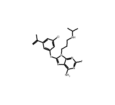 C=C(C)c1cc(Cl)cc(Sc2nc3c(N)nc(F)nc3n2CCCNC(C)C)c1